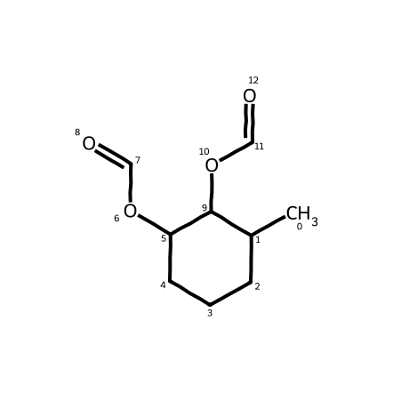 CC1CCCC(OC=O)C1OC=O